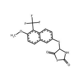 COc1ccc2cc(SC3NC(=O)SC3=O)ccc2c1C(F)(F)F